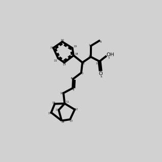 CCC(C(=O)O)C(CC=CCC12CCC(CC1)C2)c1ccccc1